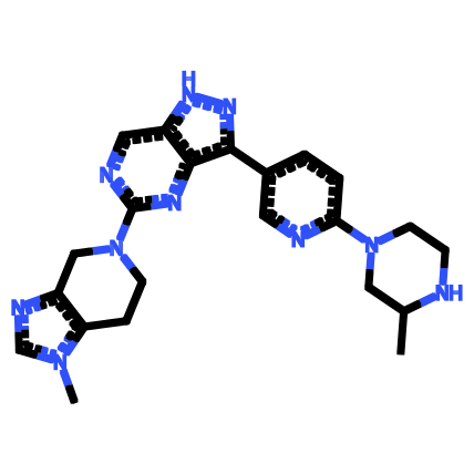 CC1CN(c2ccc(-c3n[nH]c4cnc(N5CCc6c(ncn6C)C5)nc34)cn2)CCN1